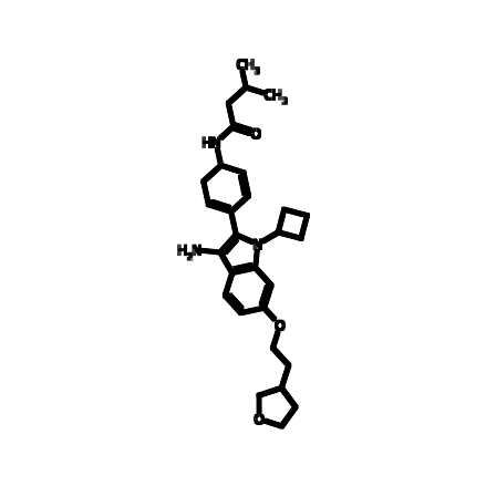 CC(C)CC(=O)NC1C=CC(c2c(N)c3ccc(OCCC4CCOC4)cc3n2C2CCC2)=CC1